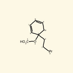 CC(C)CCC1(OC(=O)O)C=CC=CC1